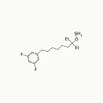 CCC(CC)(CCCCCCc1cc(F)cc(F)c1)O[SiH3]